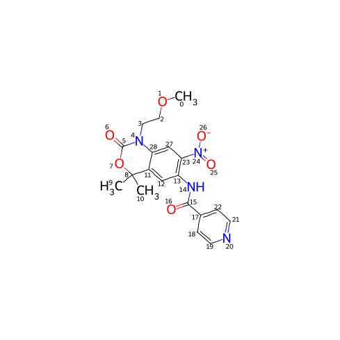 COCCN1C(=O)OC(C)(C)c2cc(NC(=O)c3ccncc3)c([N+](=O)[O-])cc21